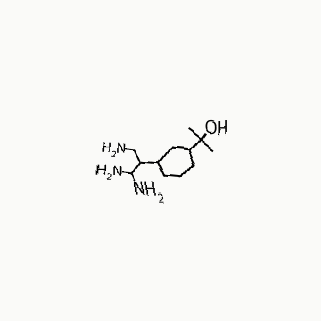 CC(C)(O)C1CCCC(C(CN)C(N)N)C1